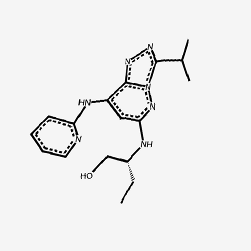 CC[C@H](CO)Nc1cc(Nc2ccccn2)c2nnc(C(C)C)n2n1